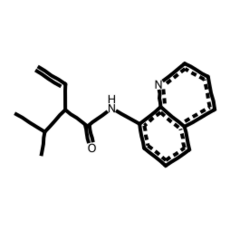 C=CC(C(=O)Nc1cccc2cccnc12)C(C)C